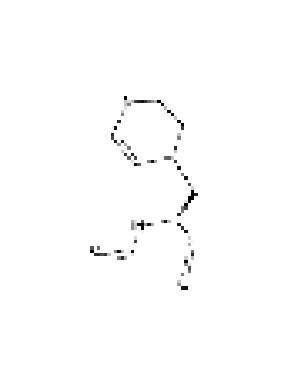 O=CN[C@H](C=O)CC1C=CN=CC1